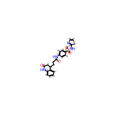 O=C(CCC1CC(=O)Nc2ccccc21)Nc1ccc(S(=O)(=O)Nc2nccs2)cc1